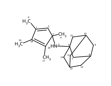 CC1=CC(C)(NC23CC4CC(CC(C4)C2)C3)C(C)=C1C